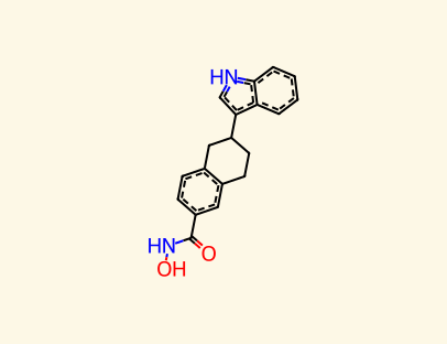 O=C(NO)c1ccc2c(c1)CCC(c1c[nH]c3ccccc13)C2